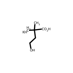 CC(C)(CCO)C(=O)O.[KH]